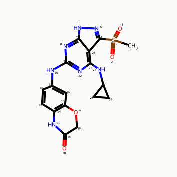 CS(=O)(=O)c1n[nH]c2nc(Nc3ccc4c(c3)OCC(=O)N4)nc(NC3CC3)c12